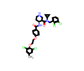 Cc1cc(Cl)c(OCCOc2ccc(C(=O)N[C@H]3CCNCC3C(=O)N(Cc3cccc(Cl)c3Cl)C3CC3)cc2)c(Cl)c1